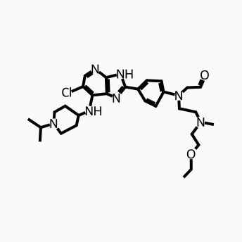 CCOCCN(C)CCN(CC=O)c1ccc(-c2nc3c(NC4CCN(C(C)C)CC4)c(Cl)cnc3[nH]2)cc1